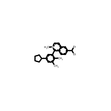 CCC(CC)c1ccc2c(-c3cc(C4CCCC4)cc(C)c3C)[n+](C)ccc2c1